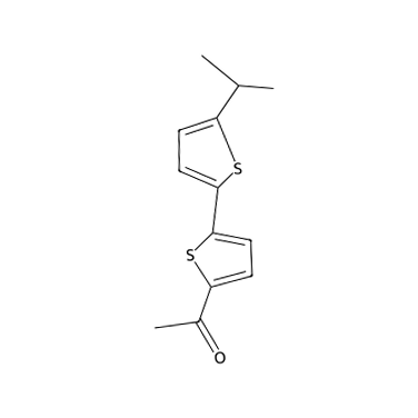 CC(=O)c1ccc(-c2ccc(C(C)C)s2)s1